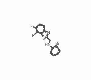 Fc1ccc2nc(CNc3ccccc3Br)sc2c1F